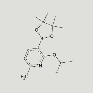 CC1(C)OB(c2ccc(C(F)(F)F)nc2OC(F)F)OC1(C)C